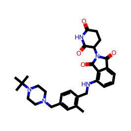 Cc1cc(CN2CCN(C(C)(C)C)CC2)ccc1CNc1cccc2c1C(=O)N(C1CCC(=O)NC1=O)C2=O